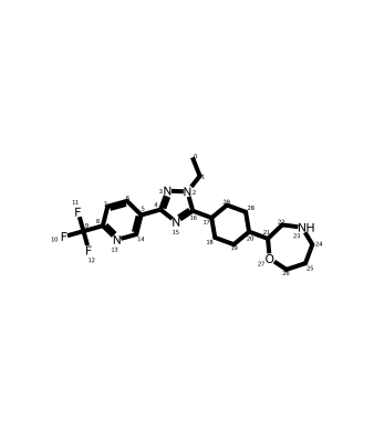 CCn1nc(-c2ccc(C(F)(F)F)nc2)nc1C1CCC(C2CNCCCO2)CC1